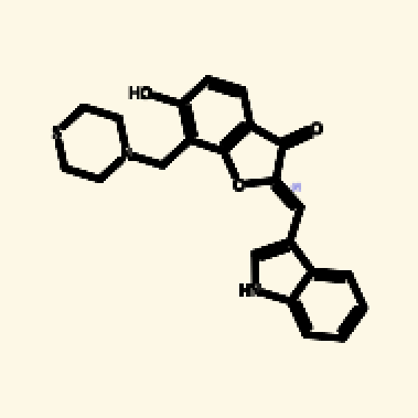 O=C1/C(=C/c2c[nH]c3ccccc23)Oc2c1ccc(O)c2CN1CCSCC1